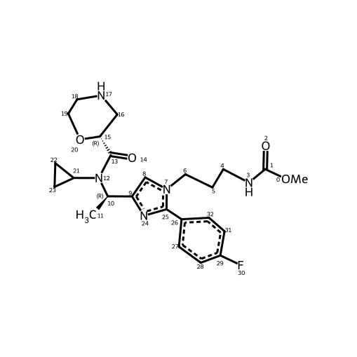 COC(=O)NCCCn1cc([C@@H](C)N(C(=O)[C@H]2CNCCO2)C2CC2)nc1-c1ccc(F)cc1